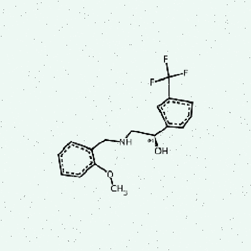 COc1ccccc1CNC[C@H](O)c1cccc(C(F)(F)F)c1